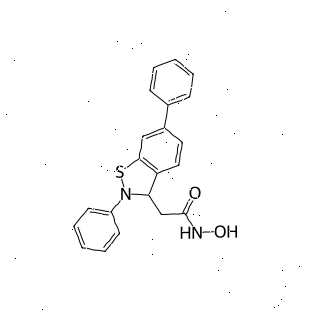 O=C(CC1c2ccc(-c3ccccc3)cc2SN1c1ccccc1)NO